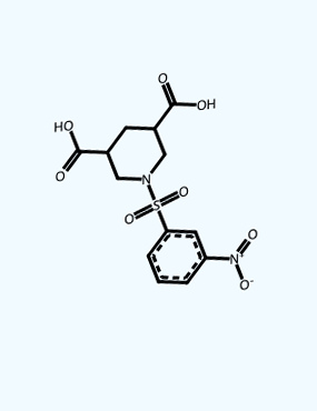 O=C(O)C1CC(C(=O)O)CN(S(=O)(=O)c2cccc([N+](=O)[O-])c2)C1